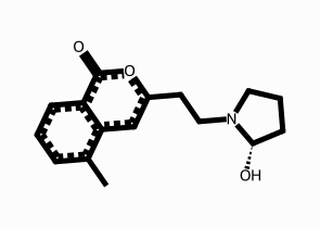 Cc1cccc2c(=O)oc(CCN3CCC[C@@H]3O)cc12